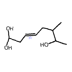 CC(O)C(C)C/C=C/CC(O)O